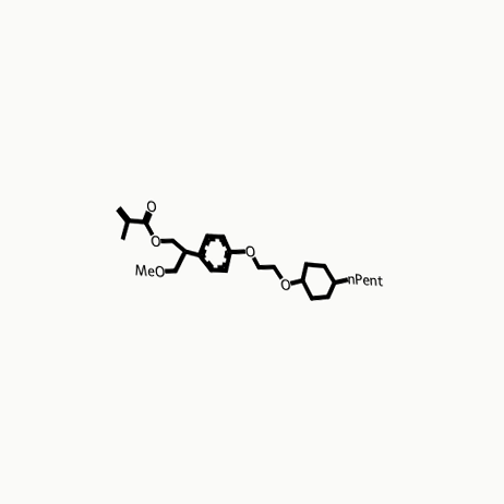 C=C(C)C(=O)OCC(COC)c1ccc(OCCOC2CCC(CCCCC)CC2)cc1